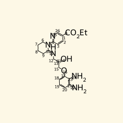 CCOC(=O)c1ccc(N2CCCCC2NC[C@H](O)COc2cccc(N)c2N)nc1